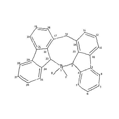 [CH3][Ti]1([CH3])[CH]2c3ccccc3-c3cccc(c32)Cc2cccc3c2[CH]1c1ccccc1-3